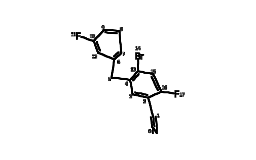 N#Cc1cc(Cc2cccc(F)c2)c(Br)cc1F